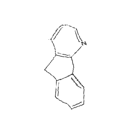 [c]1ccnc2c1Cc1ccccc1-2